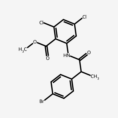 COC(=O)c1c(Cl)cc(Cl)cc1NC(=O)C(C)c1ccc(Br)cc1